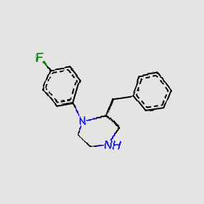 Fc1ccc(N2CCNCC2Cc2ccccc2)cc1